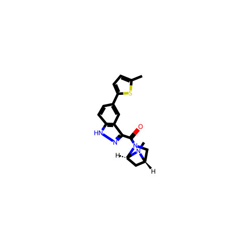 Cc1ccc(-c2ccc3[nH]nc(C(=O)N4C[C@@H]5C[C@@H]4N5C)c3c2)s1